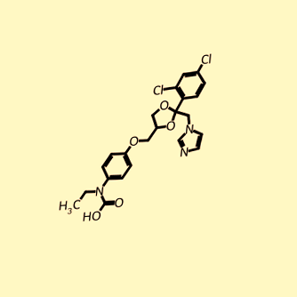 CCN(C(=O)O)c1ccc(OCC2COC(Cn3ccnc3)(c3ccc(Cl)cc3Cl)O2)cc1